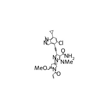 C=CC(=O)N1C[C@@H](n2nc(C#Cc3c(Cl)cc(C4CC4)c4c3cnn4C)c(C(N)=O)c2NC)C[C@@H]1COC